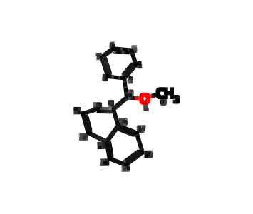 COC(c1ccccc1)c1cccc2ccccc12